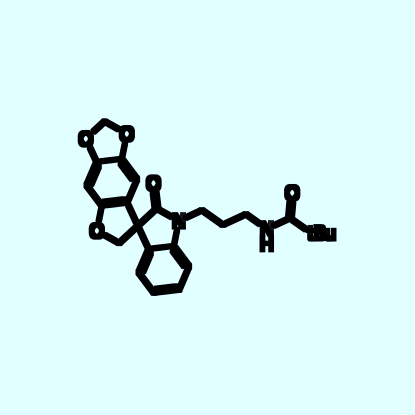 CC(C)(C)C(=O)NCCCN1C(=O)C2(COc3cc4c(cc32)OCO4)c2ccccc21